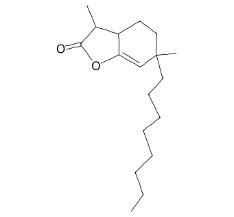 CCCCCCCCC1(C)C=C2OC(=O)C(C)C2CC1